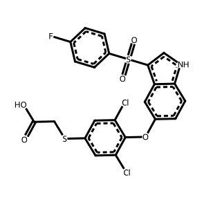 O=C(O)CSc1cc(Cl)c(Oc2ccc3[nH]cc(S(=O)(=O)c4ccc(F)cc4)c3c2)c(Cl)c1